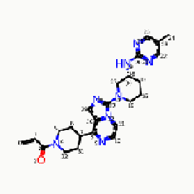 C=CC(=O)N1CCC(c2nccn3c(N4CCC[C@@H](Nc5ncc(C)cn5)C4)ncc23)CC1